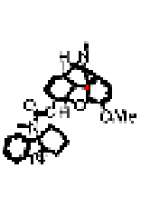 COc1ccc2c3c1O[C@H]1[C@@H](OC(=O)N(C)C4(c5ccccc5Cl)CCCCC4=O)C=C[C@H]4[C@@H]5N(C)[C@@]25C[C@@]341